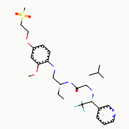 CC[C@@H](CNc1ccc(OCCS(C)(=O)=O)cc1OC)NC(=O)[C@H](CC(C)C)N[C@@H](c1cccnc1)C(F)(F)F